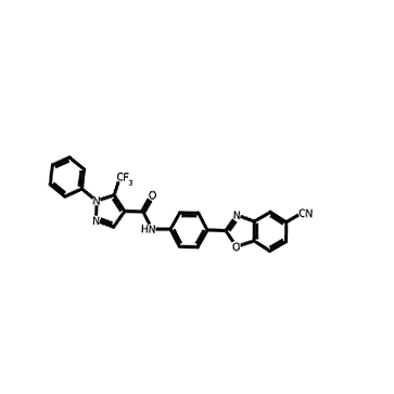 N#Cc1ccc2oc(-c3ccc(NC(=O)c4cnn(-c5ccccc5)c4C(F)(F)F)cc3)nc2c1